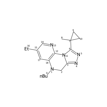 CCCCN1Cc2nnc(C3(C)CC3)n2-c2ncc(CC)cc21